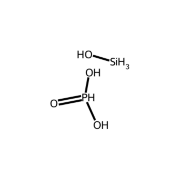 O=[PH](O)O.O[SiH3]